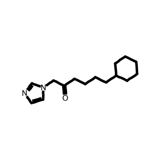 O=C(CCCCC1CCCCC1)Cn1ccnc1